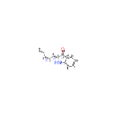 C=C/C=C\C=C1/Nc2ccccc2C1=O